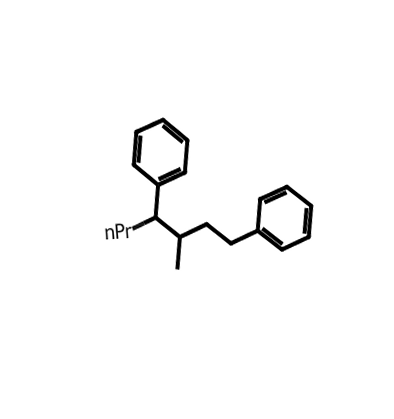 [CH2]CCC(c1ccccc1)C(C)CCc1ccccc1